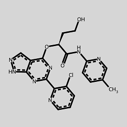 Cc1ccc(NC(=O)[C@H](CCO)Oc2nc(-c3ncccc3Cl)nc3[nH]ncc23)nc1